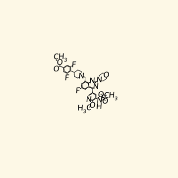 CCOC(=O)c1cc(F)c(C2CCN(Cc3cc(F)cc4c(-c5cnc(OC)c(NS(C)(=O)=O)c5)nc(N5CCOCC5)nc34)CC2)c(F)c1